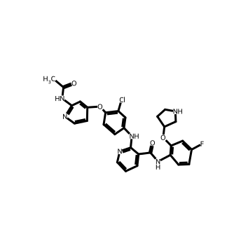 CC(=O)Nc1cc(Oc2ccc(Nc3ncccc3C(=O)Nc3ccc(F)cc3OC3CCNC3)cc2Cl)ccn1